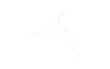 CCN[C@H]1CN(Cc2ccc(O)cc2)S(=O)(=O)c2sc(S(N)(=O)=O)cc21.Cl